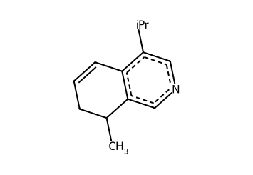 CC(C)c1cncc2c1C=CCC2C